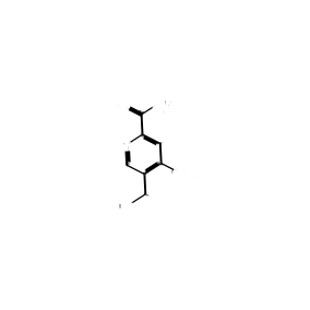 COC(=O)c1cc(C)c(CC(C)C)cn1